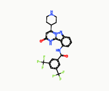 O=C(Nc1cccc2nn3c(C4CCNCC4)cc(=O)[nH]c3c12)c1cc(C(F)(F)F)cc(C(F)(F)F)c1